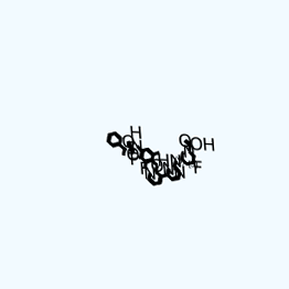 Cc1cc(NS(=O)(=O)C(C)c2ccccc2)c(F)c(F)c1Oc1ncccc1-c1ccnc(N[C@H]2C[C@H](F)CN(C(=O)O)C2)n1